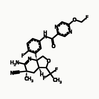 CC(F)(F)C1OC[C@]2(c3cc(NC(=O)c4cnc(OCF)cn4)ccc3F)N=C(N)[C@](C)(C#N)C[C@H]12